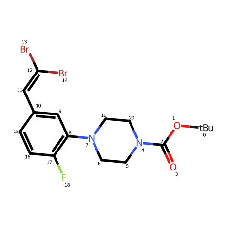 CC(C)(C)OC(=O)N1CCN(c2cc(C=C(Br)Br)ccc2F)CC1